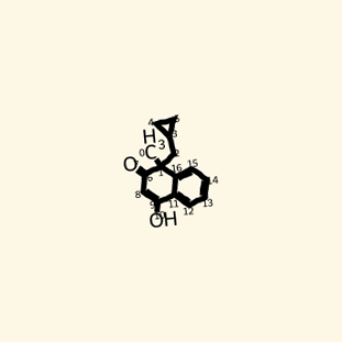 CC1(CC2CC2)C(=O)C=C(O)c2ccccc21